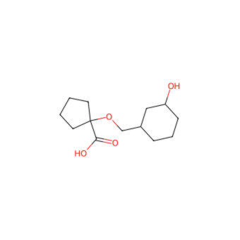 O=C(O)C1(OCC2CCCC(O)C2)CCCC1